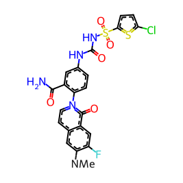 CNc1cc2ccn(-c3ccc(NC(=O)NS(=O)(=O)c4ccc(Cl)s4)cc3C(N)=O)c(=O)c2cc1F